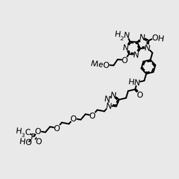 COCCOc1nc(N)c2nc(O)n(Cc3ccc(CNC(=O)CCc4cn(CCOCCOCCOCCOP(C)(=O)O)nn4)cc3)c2n1